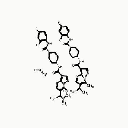 CNC(C)c1cnc2c(C(=O)N[C@H]3CC[C@H](C(=O)Nc4ccc(F)cc4Cl)CC3)cnn2c1C.Cc1c(C(C)N(C)C)cnc2c(C(=O)N[C@H]3CC[C@H](C(=O)Nc4ccc(F)cc4Cl)CC3)cnn12.O=CO